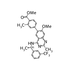 COC(=O)c1ccc(-c2cc3c(N[C@H](C)c4cccc(C(F)(F)F)c4)nc(C)nc3cc2OC)cc1C